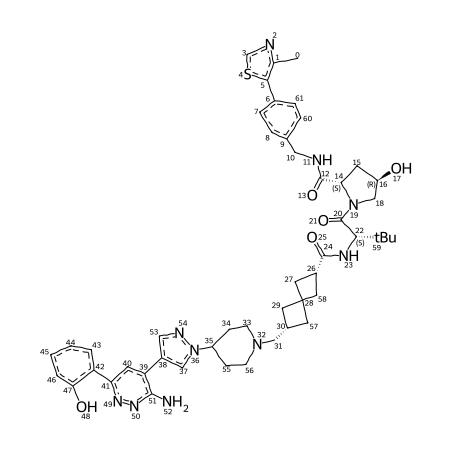 Cc1ncsc1-c1ccc(CNC(=O)[C@@H]2C[C@@H](O)CN2C(=O)[C@@H](NC(=O)[C@H]2CC3(C[C@@H](CN4CCC(n5cc(-c6cc(-c7ccccc7O)nnc6N)cn5)CC4)C3)C2)C(C)(C)C)cc1